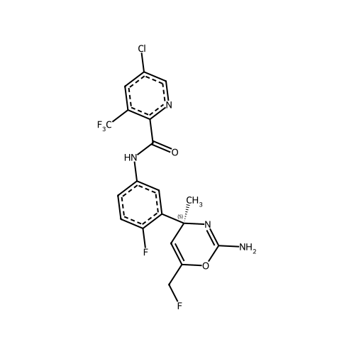 C[C@@]1(c2cc(NC(=O)c3ncc(Cl)cc3C(F)(F)F)ccc2F)C=C(CF)OC(N)=N1